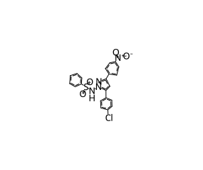 O=[N+]([O-])c1ccc(-c2cc(-c3ccc(Cl)cc3)n(NS(=O)(=O)c3ccccc3)n2)cc1